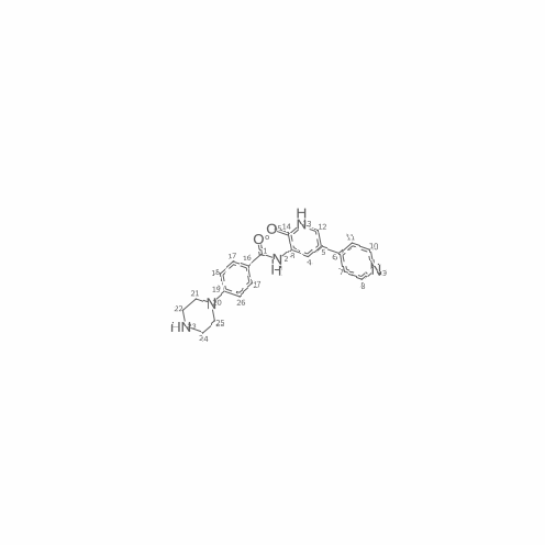 O=C(Nc1cc(-c2ccncc2)c[nH]c1=O)c1ccc(N2CCNCC2)cc1